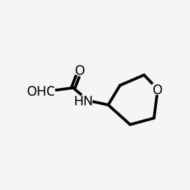 O=CC(=O)NC1CCOCC1